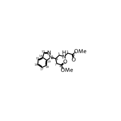 COC(=O)CNCC(CC(=O)OC)n1ncc2ccccc21